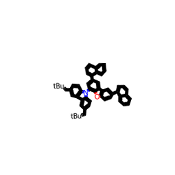 CC(C)(C)Cc1ccc2c(c1)c1cc(CC(C)(C)C)ccc1n2-c1cc(-c2cccc3ccccc23)cc2c1oc1ccc(-c3cccc4ccccc34)cc12